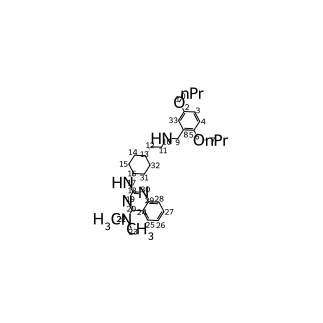 CCCOc1ccc(OCCC)c(CNCC[C@H]2CC[C@@H](Nc3nc(N(C)C)c4ccccc4n3)CC2)c1